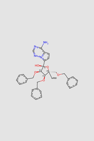 C=C[C@]1(COCc2ccccc2)O[C@@](O)(c2ccc3c(N)ncnn23)[C@H](OCc2ccccc2)[C@@H]1OCc1ccccc1